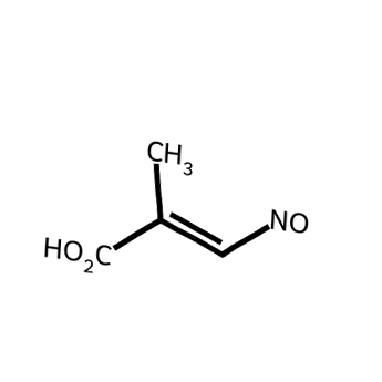 CC(=CN=O)C(=O)O